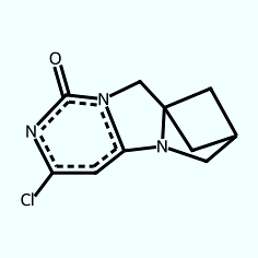 O=c1nc(Cl)cc2n1CC13CC(CN21)C3